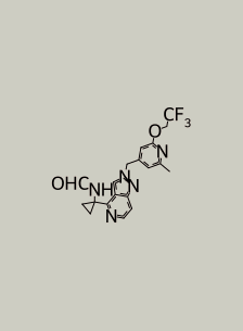 Cc1cc(Cn2cc3c(C4(NC=O)CC4)nccc3n2)cc(OCC(F)(F)F)n1